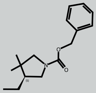 CC[C@@H]1CN(C(=O)OCc2ccccc2)CC1(C)C